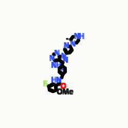 COc1ccc(F)cc1C(=O)NCc1ccc(-c2nn(-c3ccc(N4CCNC[C@H]4C)nc3)c3ncnc(N)c23)cc1